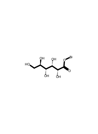 O=C([O][Bi])[C@H](O)[C@@H](O)[C@H](O)[C@H](O)CO